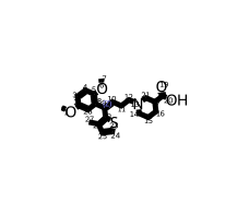 COc1ccc(OC)c(/C(=C/CCN2CCCC(C(=O)O)C2)c2sccc2C)c1